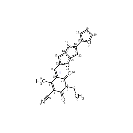 CCN1C(=O)C(C#N)=C(C)/C(=C/c2cc3sc(-c4ccco4)cc3o2)C1=O